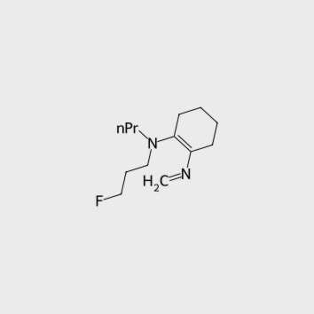 C=NC1=C(N(CCC)CCCF)CCCC1